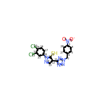 O=[N+]([O-])c1ccc(Cn2nnc(-c3cnn(-c4ccc(Cl)c(Cl)c4)c3S)n2)cc1